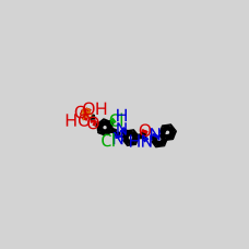 O=C(Nc1ccc2ccccc2n1)c1ccc2nc(-c3c(Cl)cc(OCP(=O)(O)O)cc3Cl)[nH]c2c1